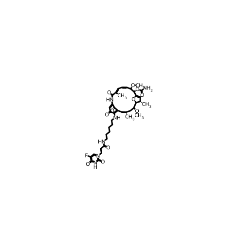 COC1/C=C\C=C(/C)C(=O)NC2=CC(=O)C(NCCCCCCNC(=O)CCn3cc(F)c(=O)[nH]c3=O)=C(C[C@@H](C)CC(OC)C3OC(=C[C@@H]3C)C1OC(N)=O)C2=O